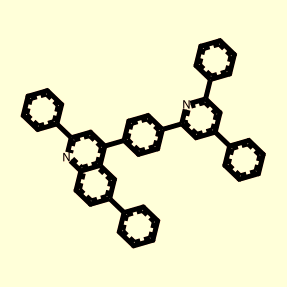 c1ccc(-c2cc(-c3ccccc3)nc(-c3ccc(-c4cc(-c5ccccc5)nc5ccc(-c6ccccc6)cc45)cc3)c2)cc1